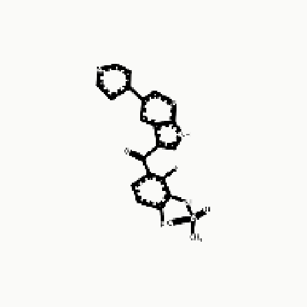 CS(=O)(=O)Nc1c(F)ccc(C(=O)c2c[nH]c3ncc(-c4ccncc4)cc23)c1F